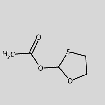 CC(=O)OC1OCCS1